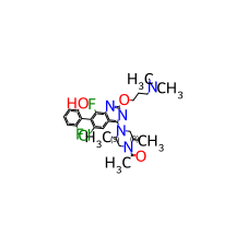 CC(=O)N1C[C@H](C)N(c2nc(OCCCN(C)C)nc3c(F)c(-c4c(O)cccc4F)c(Cl)cc23)C[C@H]1C